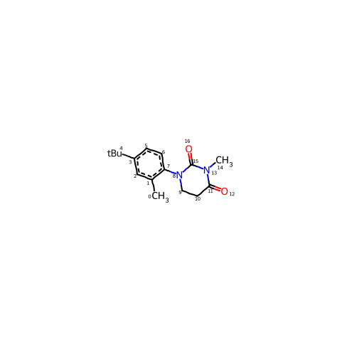 Cc1cc(C(C)(C)C)ccc1N1CCC(=O)N(C)C1=O